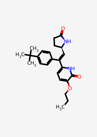 CCCOc1ccc(C(=C[C@H]2CCC(=O)N2)c2ccc(C(C)(C)C)cc2)[nH]c1=O